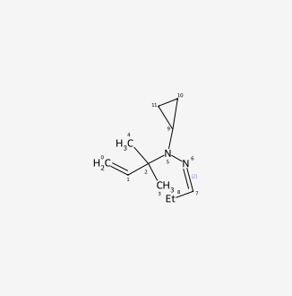 C=CC(C)(C)N(/N=C\CC)C1CC1